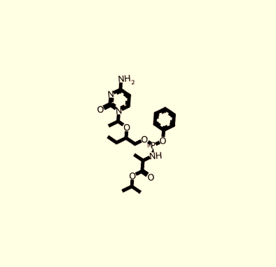 CCC(CO[P@](NC(C)C(=O)OC(C)C)Oc1ccccc1)OC(C)n1ccc(N)nc1=O